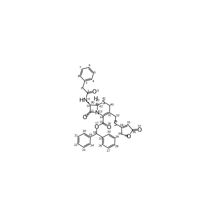 O=C(Cc1ccccc1)N[C@@H]1C(=O)N2C(C(=O)OC(c3ccccc3)c3ccccc3)=C(CSC3=CC(=O)OC3)CS[C@H]12